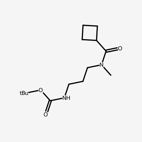 CN(CCCNC(=O)OC(C)(C)C)C(=O)C1CCC1